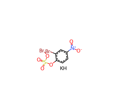 O=[N+]([O-])c1ccc(OS(=O)(=O)OBr)c(Br)c1.[KH]